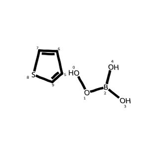 OOB(O)O.c1ccsc1